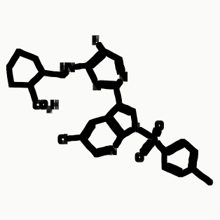 Cc1ccc(S(=O)(=O)n2cc(-c3ncc(F)c(NCC4CCCCC4C(=O)O)n3)c3cc(Cl)cnc32)cc1